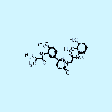 Cc1ccc(-c2ccc(=O)n(CC(=O)Nc3cccc(C)c3C)n2)cc1NC(=O)C(C)C